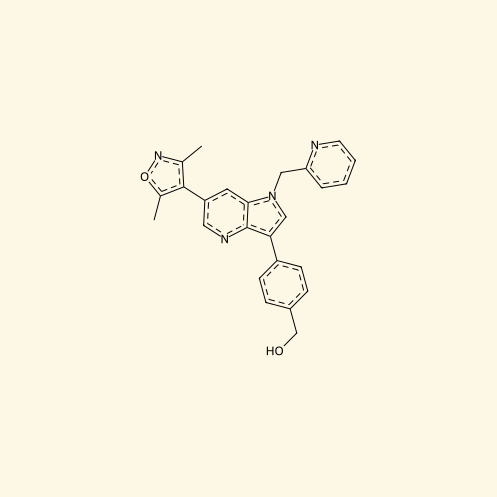 Cc1noc(C)c1-c1cnc2c(-c3ccc(CO)cc3)cn(Cc3ccccn3)c2c1